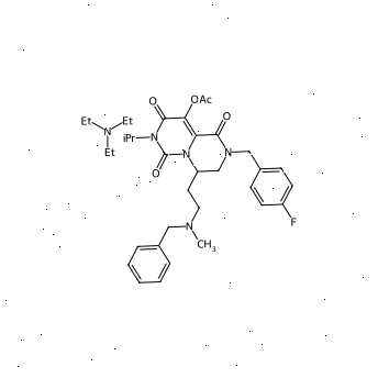 CC(=O)Oc1c2n(c(=O)n(C(C)C)c1=O)C(CCN(C)Cc1ccccc1)CN(Cc1ccc(F)cc1)C2=O.CCN(CC)CC